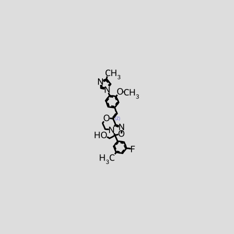 COc1cc(/C=C2\OCCN3C2=NOC3(CO)c2cc(C)cc(F)c2)ccc1-n1cnc(C)c1